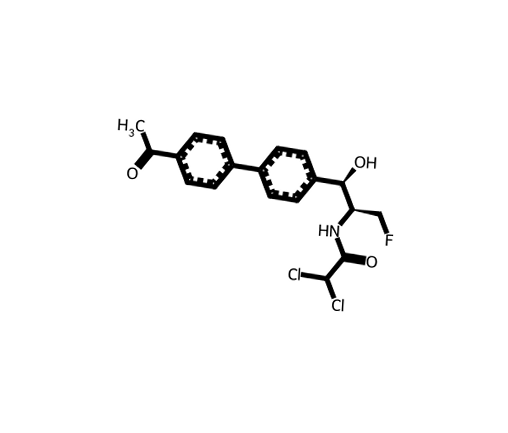 CC(=O)c1ccc(-c2ccc([C@@H](O)[C@@H](CF)NC(=O)C(Cl)Cl)cc2)cc1